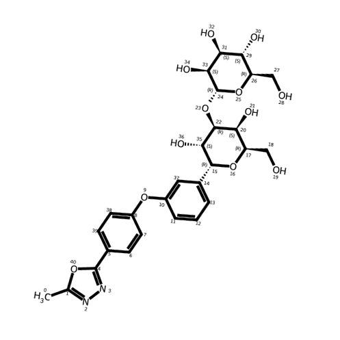 Cc1nnc(-c2ccc(Oc3cccc([C@H]4O[C@H](CO)[C@H](O)[C@H](O[C@H]5O[C@H](CO)[C@@H](O)[C@H](O)[C@@H]5O)[C@H]4O)c3)cc2)o1